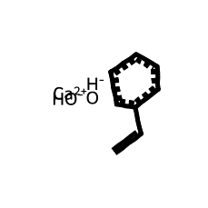 C=Cc1ccccc1.[Ca+2].[OH-].[OH-]